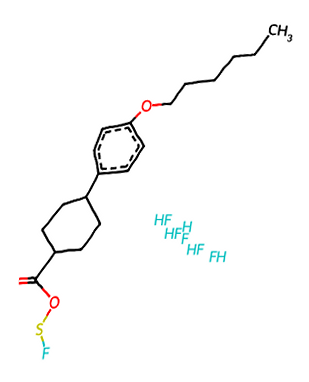 CCCCCCOc1ccc(C2CCC(C(=O)OSF)CC2)cc1.F.F.F.F.F